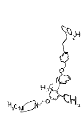 Cc1cc(OCCN2CCN(C)CC2)cc(C)c1-c1cccc(OCc2ccc(CCC(=O)O)cc2)n1